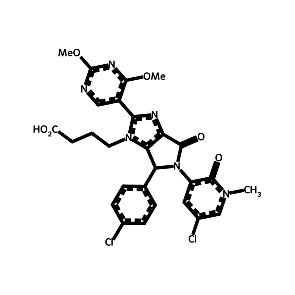 COc1ncc(-c2nc3c(n2CCCC(=O)O)C(c2ccc(Cl)cc2)N(c2cc(Cl)cn(C)c2=O)C3=O)c(OC)n1